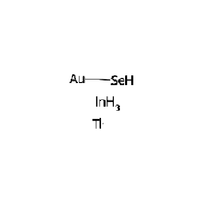 [InH3].[SeH][Au].[Tl]